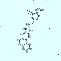 COc1ccc(CNC2=NC(=O)C(=Cc3ccc4ncccc4n3)N2)cc1C